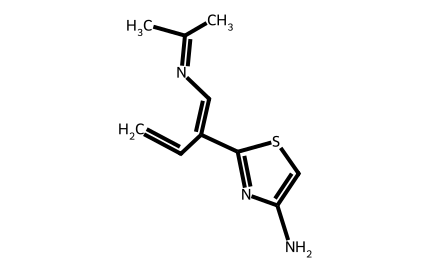 C=C/C(=C\N=C(C)C)c1nc(N)cs1